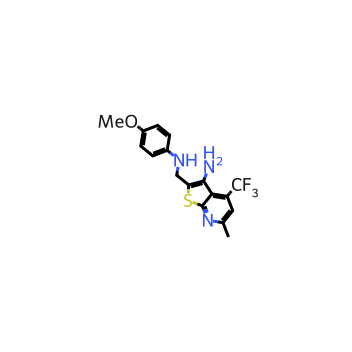 COc1ccc(NCc2sc3nc(C)cc(C(F)(F)F)c3c2N)cc1